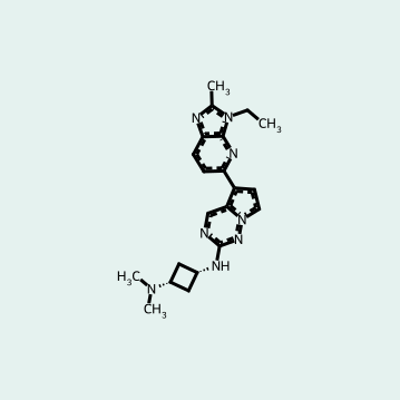 CCn1c(C)nc2ccc(-c3ccn4nc(N[C@H]5C[C@@H](N(C)C)C5)ncc34)nc21